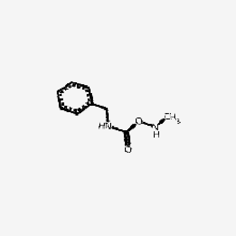 CNOC(=O)NCc1ccccc1